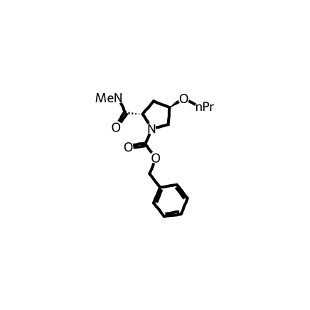 CCCO[C@@H]1C[C@@H](C(=O)NC)N(C(=O)OCc2ccccc2)C1